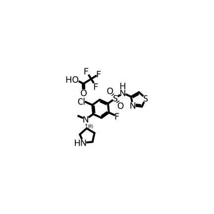 CN(c1cc(F)c(S(=O)(=O)Nc2cscn2)cc1Cl)[C@@H]1CCNC1.O=C(O)C(F)(F)F